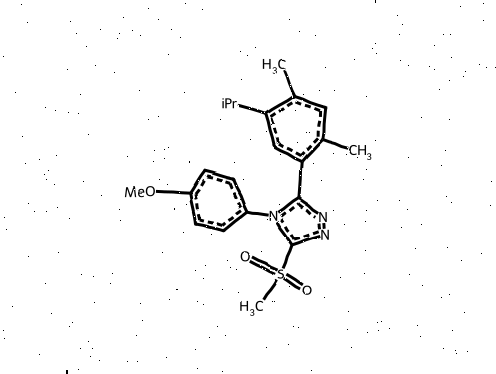 COc1ccc(-n2c(-c3cc(C(C)C)c(C)cc3C)nnc2S(C)(=O)=O)cc1